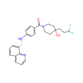 O=C(c1ccc(NSc2cccc3cccnc23)cc1)N1CCC(O)(CCC(F)F)CC1